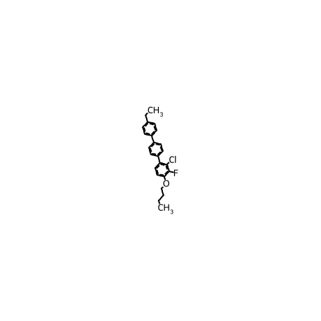 CCCCOc1ccc(-c2ccc(-c3ccc(CC)cc3)cc2)c(Cl)c1F